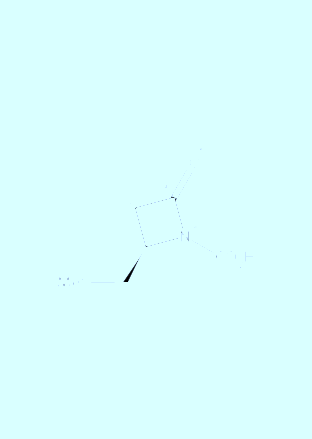 CSC[C@H]1CC(=O)N1C(=O)O